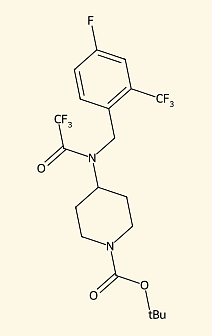 CC(C)(C)OC(=O)N1CCC(N(Cc2ccc(F)cc2C(F)(F)F)C(=O)C(F)(F)F)CC1